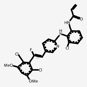 C=CC(=O)Nc1cccc(Cl)c1Nc1ccc(/C=C(\F)c2c(Cl)c(OC)cc(OC)c2Cl)cn1